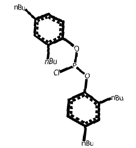 CCCCc1ccc(OP(Cl)Oc2ccc(CCCC)cc2CCCC)c(CCCC)c1